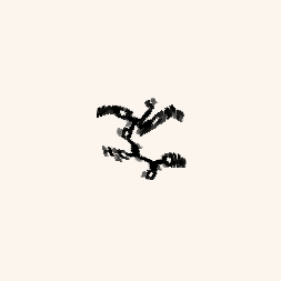 COC(=O)C(C)=COP(=S)(OC)OC